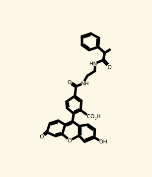 CC(C(=O)NCCNC(=O)c1ccc(-c2c3ccc(=O)cc-3oc3cc(O)ccc23)c(C(=O)O)c1)c1ccccc1